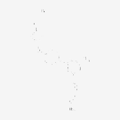 CC(C)(C)COC1CC(OC2CCN(c3cc(C#CCOC(C)(C)C)cc(C(F)(F)F)c3)CC2)C1